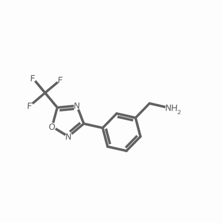 NCc1cccc(-c2noc(C(F)(F)F)n2)c1